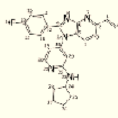 C=Cc1ccc2c(n1)nc(-c1ccc(F)cc1)n2-c1ccnc(NC2CCCC2)c1